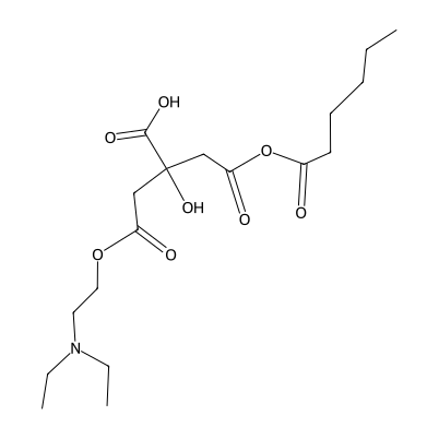 CCCCCC(=O)OC(=O)CC(O)(CC(=O)OCCN(CC)CC)C(=O)O